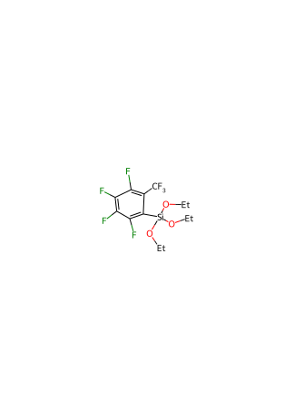 CCO[Si](OCC)(OCC)c1c(F)c(F)c(F)c(F)c1C(F)(F)F